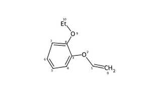 C=COc1ccccc1OCC